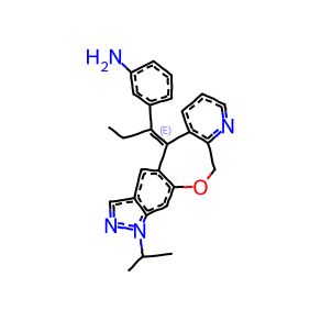 CC/C(=C1\c2cc3cnn(C(C)C)c3cc2OCc2ncccc21)c1cccc(N)c1